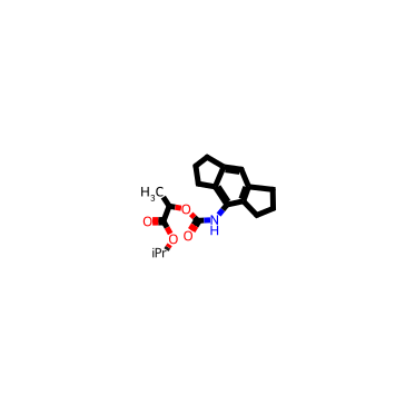 CC(C)OC(=O)C(C)OC(=O)Nc1c2c(cc3c1CCC3)CCC2